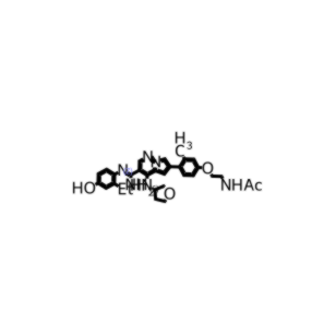 CCc1cc(O)ccc1/N=C(\N)c1cnn2cc(-c3ccc(OCCNC(C)=O)cc3C)cc2c1N[C@H]1CCOC1